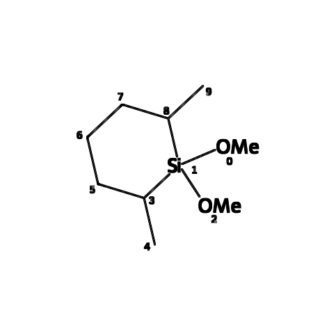 CO[Si]1(OC)C(C)CCCC1C